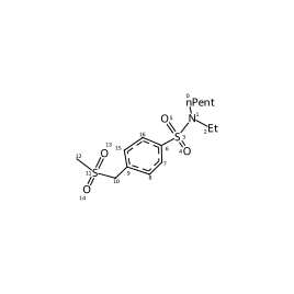 CCCCCN(CC)S(=O)(=O)c1ccc(CS(C)(=O)=O)cc1